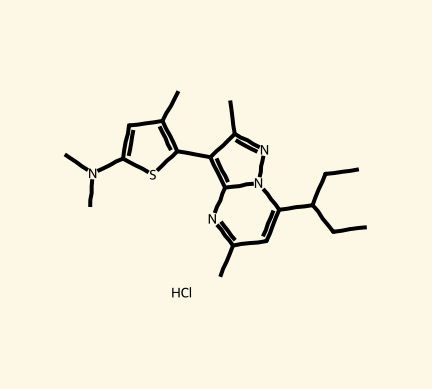 CCC(CC)c1cc(C)nc2c(-c3sc(N(C)C)cc3C)c(C)nn12.Cl